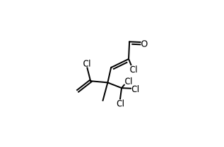 C=C(Cl)C(C)(C=C(Cl)C=O)C(Cl)(Cl)Cl